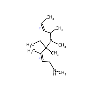 C/C=C\C(C)P(C)C(C)(CC)/C(C)=C\CNC